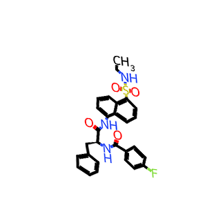 CCNS(=O)(=O)c1cccc2c(NC(=O)[C@H](Cc3ccccc3)NC(=O)c3ccc(F)cc3)cccc12